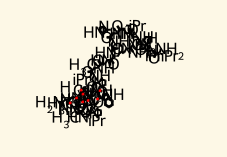 CC(C)C[C@H](NC(=O)CNC(=O)[C@@H]1CCCN1C(=O)[C@@H](NC(=O)[C@@H](N)C(C)C)C(C)C)C(=O)N[C@@H](Cc1c[nH]cn1)C(=O)NCC(=O)N[C@@H](CCCNC(=N)N)C(=O)NCC(=O)N[C@@H](C)C(=O)N[C@H](C(=O)N1CCC[C@H]1C(=O)N[C@@H](Cc1c[nH]c2ccccc12)C(=O)N1CCC[C@H]1C(=O)N[C@@H](C)C(=O)N[C@@H](C)C(=O)N[C@H](C(=O)N1CCC[C@H]1C(=O)NCC(=O)N[C@@H](CCCNC(=N)N)C(=O)O)C(C)C)C(C)C